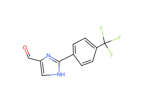 O=Cc1c[nH]c(-c2ccc(C(F)(F)F)cc2)n1